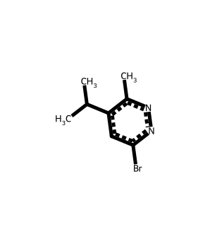 Cc1nnc(Br)cc1C(C)C